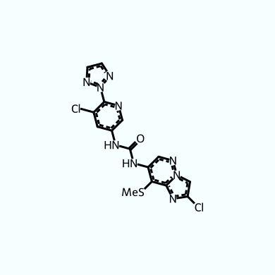 CSc1c(NC(=O)Nc2cnc(-n3nccn3)c(Cl)c2)cnn2cc(Cl)nc12